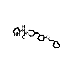 O=C(Nc1cccnn1)N1CCC(=Cc2cccc(OCCc3ccccc3)c2)CC1